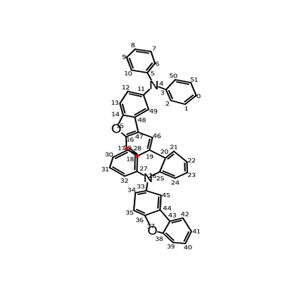 c1ccc(N(c2ccccc2)c2ccc3oc4ccc(-c5ccccc5N(c5ccccc5)c5ccc6oc7ccccc7c6c5)cc4c3c2)cc1